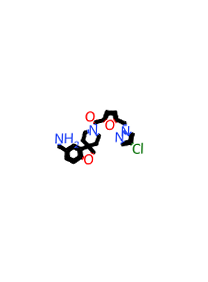 NCc1ccc2c(c1)C1(CCN(C(=O)c3ccc(Cn4cc(Cl)cn4)o3)CC1)CO2